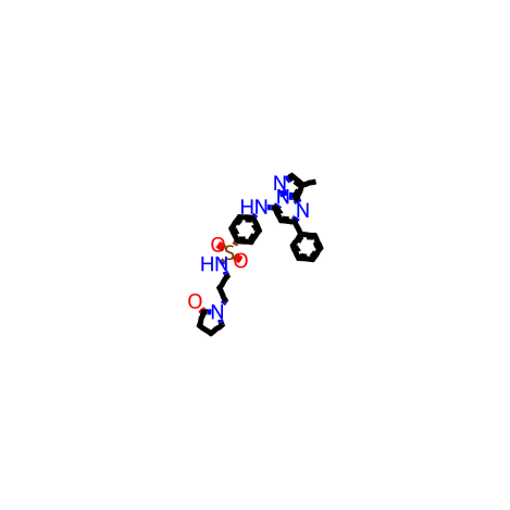 Cc1cnn2c(Nc3ccc(S(=O)(=O)NCCCN4CCCC4=O)cc3)cc(-c3ccccc3)nc12